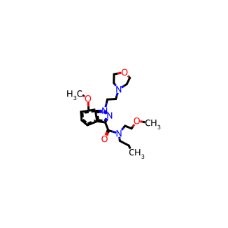 CCCN(CCOC)C(=O)c1nn(CCN2CCOCC2)c2c(OC)cccc12